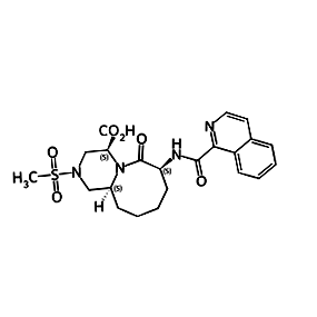 CS(=O)(=O)N1C[C@@H]2CCCC[C@H](NC(=O)c3nccc4ccccc34)C(=O)N2[C@H](C(=O)O)C1